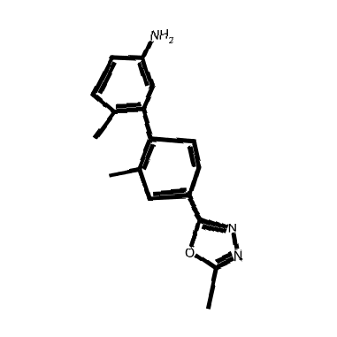 Cc1nnc(-c2ccc(-c3cc(N)ccc3C)c(C)c2)o1